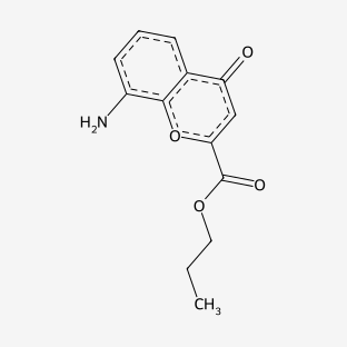 CCCOC(=O)c1cc(=O)c2cccc(N)c2o1